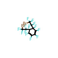 FC1=C(F)C(F)(C(F)(F)C(F)(F)Br)C(F)(C(F)(F)C(F)(F)Br)C(F)=C1F